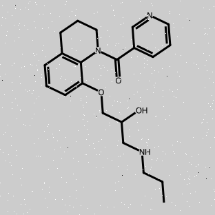 CCCNCC(O)COc1cccc2c1N(C(=O)c1cccnc1)CCC2